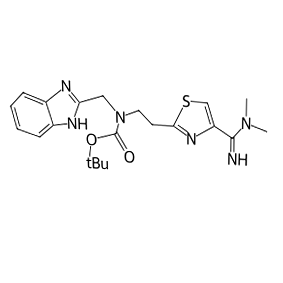 CN(C)C(=N)c1csc(CCN(Cc2nc3ccccc3[nH]2)C(=O)OC(C)(C)C)n1